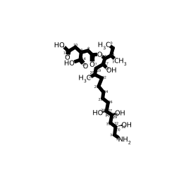 CCC(C)C(OC(=O)CC(CC(=O)O)C(=O)O)C(O)CC(C)CCCCC[C@@H](O)[C@@H](O)C[C@H](O)CN